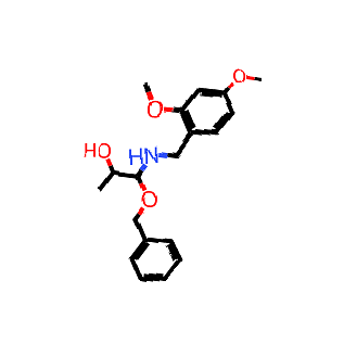 COc1ccc(CNC(OCc2ccccc2)C(C)O)c(OC)c1